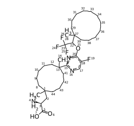 CC1(C[C@H](N)C(=O)O)CCCCCC(C)(c2ncc(F)c(OC(C(F)(F)F)C3(C)CCCCCCCCCCC3)n2)CCCC1